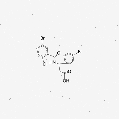 O=C(O)CC(NC(=O)c1cc(Br)ccc1Cl)c1ccc(Br)cc1